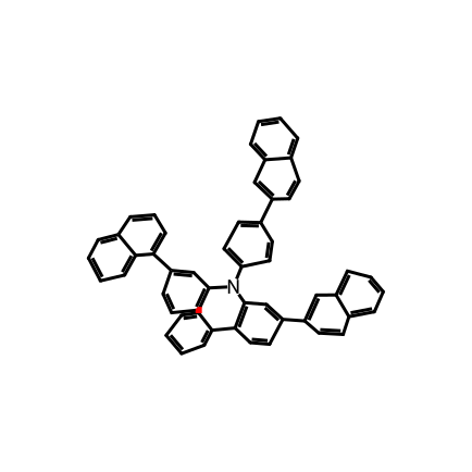 c1ccc(-c2ccc(-c3ccc4ccccc4c3)cc2N(c2ccc(-c3ccc4ccccc4c3)cc2)c2cccc(-c3cccc4ccccc34)c2)cc1